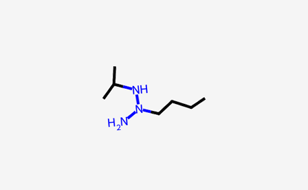 CCCCN(N)NC(C)C